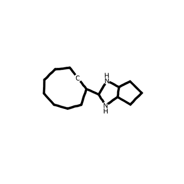 C1CCCCC(C2NC3CCCC3N2)CCC1